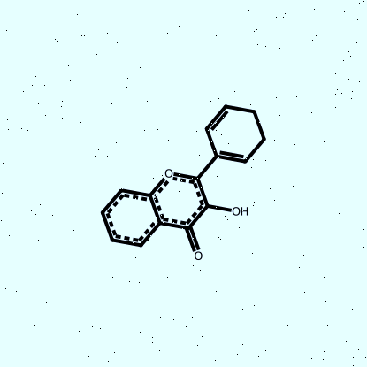 O=c1c(O)c(C2=CCCC=C2)oc2ccccc12